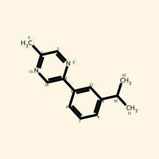 Cc1cnc(-c2cccc(C(C)C)c2)cn1